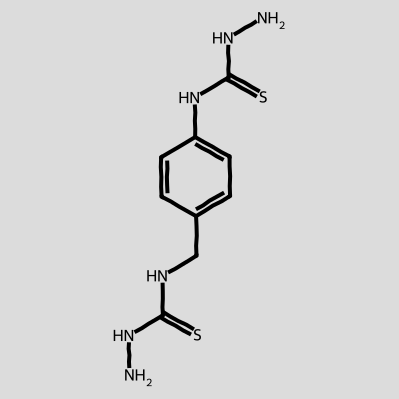 NNC(=S)NCc1ccc(NC(=S)NN)cc1